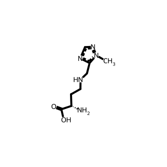 Cn1ncnc1CNCC[C@H](N)C(=O)O